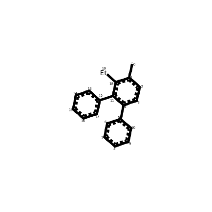 [CH2]c1ccc(-c2ccccc2)c(-c2ccccc2)c1CC